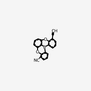 C#Cc1cccc2c1Oc1cccc3c1B2c1cccc(C#N)c1O3